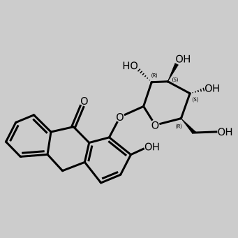 O=C1c2ccccc2Cc2ccc(O)c(OC3O[C@H](CO)[C@@H](O)[C@H](O)[C@H]3O)c21